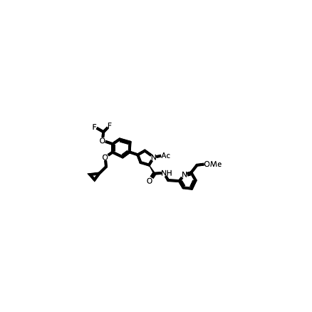 COCc1cccc(CNC(=O)[C@H]2CC(c3ccc(OC(F)F)c(OCC4CC4)c3)CN2C(C)=O)n1